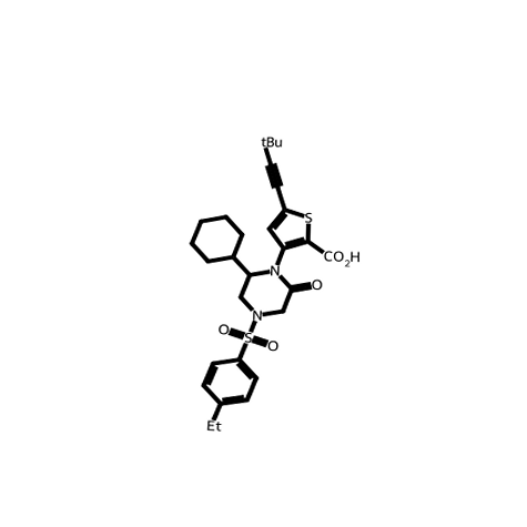 CCc1ccc(S(=O)(=O)N2CC(=O)N(c3cc(C#CC(C)(C)C)sc3C(=O)O)C(C3CCCCC3)C2)cc1